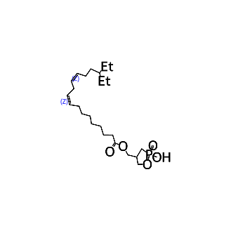 CCC(CC)CC/C=C\C/C=C\CCCCCCCC(=O)OCC1COP(=O)(O)C1